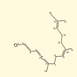 CC(=C=CC=CCl)CCC=C(C)CCC=C(C)C